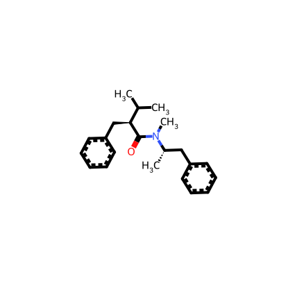 CC(C)[C@H](Cc1ccccc1)C(=O)N(C)[C@@H](C)Cc1ccccc1